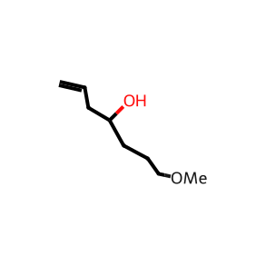 C=CCC(O)CCCOC